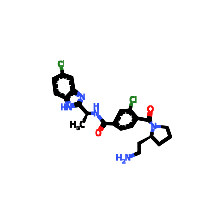 C[C@H](NC(=O)c1ccc(C(=O)N2CCC[C@H]2CCN)c(Cl)c1)c1nc2cc(Cl)ccc2[nH]1